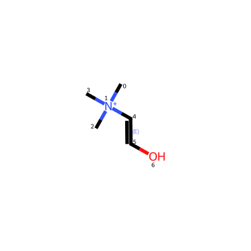 C[N+](C)(C)/C=C/O